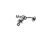 COc1cc(CC=CCCC2OCCO2)ccc1OCc1nc(-c2ccccc2)oc1C